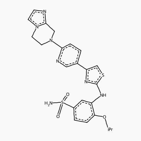 CC(C)Oc1ccc(S(N)(=O)=O)cc1Nc1nc(-c2ccc(N3CCn4ccnc4C3)nc2)cs1